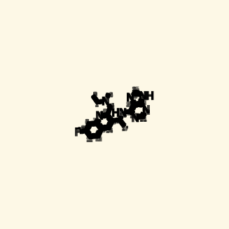 CCN(C)Cc1nc2cc(F)ccc2cc1C(C)Nc1ncnc2[nH]cnc12